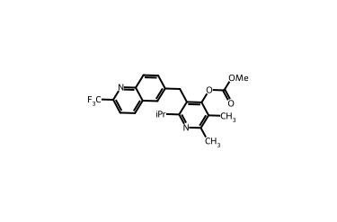 COC(=O)Oc1c(C)c(C)nc(C(C)C)c1Cc1ccc2nc(C(F)(F)F)ccc2c1